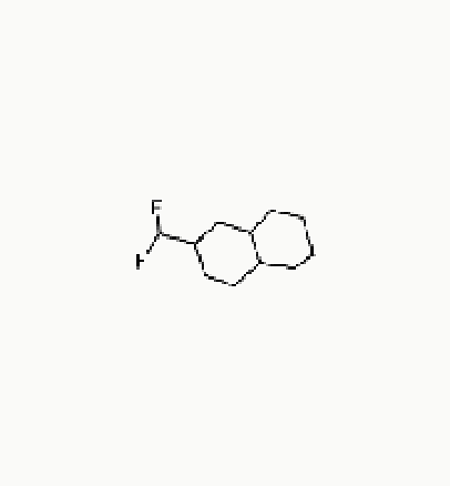 FC(F)C1CCC2CCCCC2C1